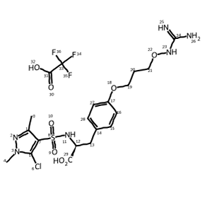 Cc1nn(C)c(Cl)c1S(=O)(=O)N[C@@H](Cc1ccc(OCCCONC(=N)N)cc1)C(=O)O.O=C(O)C(F)(F)F